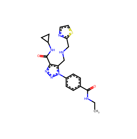 CCNC(=O)c1ccc(-n2nnc(C(=O)NC3CC3)c2CNCc2nccs2)cc1